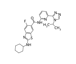 CC(C)n1cnnc1-c1cccc(NC(=O)c2cc3sc(NC4CCCCC4)nc3cc2F)n1